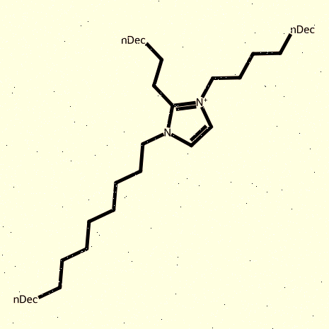 CCCCCCCCCCCCCCCCCCn1cc[n+](CCCCCCCCCCCCCC)c1CCCCCCCCCCCC